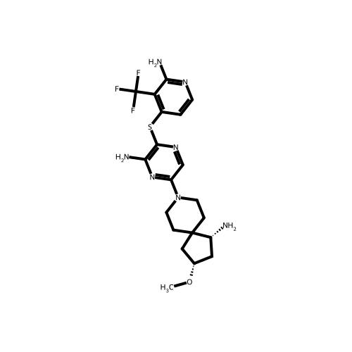 CO[C@H]1C[C@@H](N)C2(CCN(c3cnc(Sc4ccnc(N)c4C(F)(F)F)c(N)n3)CC2)C1